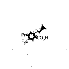 CC(C)c1cc(OCC2CC2)c(C(=O)O)cc1C(F)(F)F